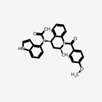 COc1ccc(C(=O)N2c3ccccc3[C@H](N(C(C)=O)c3cccc4[nH]ccc34)C[C@@H]2C)cc1